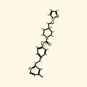 Cc1ccnc(CCc2ccc(OC(=O)N3CCC(COn4cccn4)CC3)cc2)c1